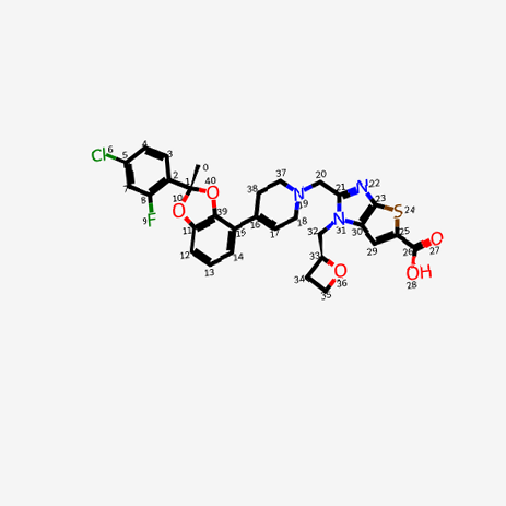 C[C@]1(c2ccc(Cl)cc2F)Oc2cccc(C3=CCN(Cc4nc5sc(C(=O)O)cc5n4C[C@@H]4CCO4)CC3)c2O1